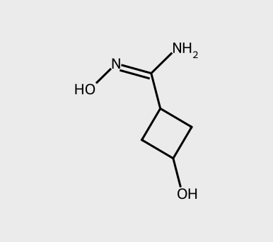 N/C(=N/O)C1CC(O)C1